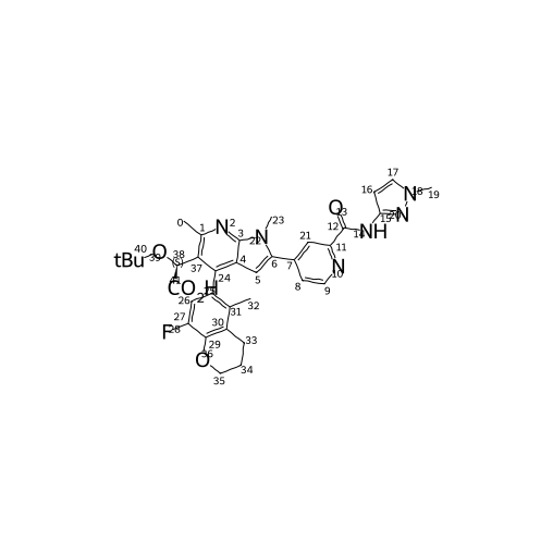 Cc1nc2c(cc(-c3ccnc(C(=O)Nc4ccn(C)n4)c3)n2C)c(-c2cc(F)c3c(c2C)CCCO3)c1[C@H](OC(C)(C)C)C(=O)O